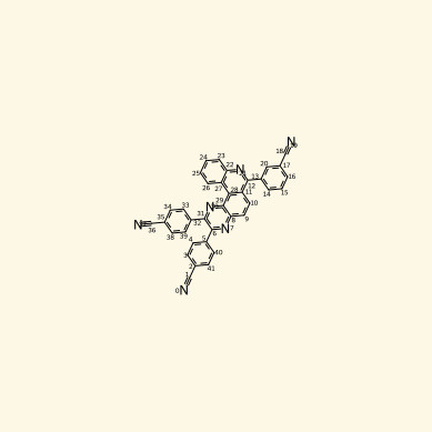 N#Cc1ccc(-c2nc3ccc4c(-c5cccc(C#N)c5)nc5ccccc5c4c3nc2-c2ccc(C#N)cc2)cc1